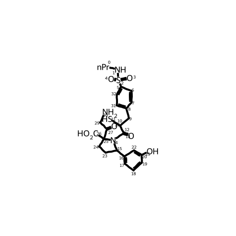 CCCNS(=O)(=O)c1ccc(CC(S)C(=O)N2C(c3cccc(O)c3)CCC2(C(=O)O)C(=O)CN)cc1